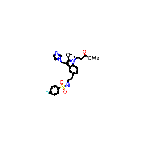 COC(=O)CCn1c(C)c(Cn2ccnc2)c2cc(CCNS(=O)(=O)c3ccc(F)cc3)ccc21